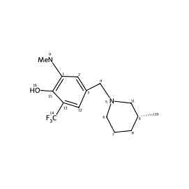 CNc1cc(CN2CCC[C@@H](C)C2)cc(C(F)(F)F)c1O